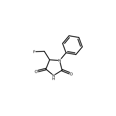 O=C1NC(=O)N(c2ccccc2)C1CF